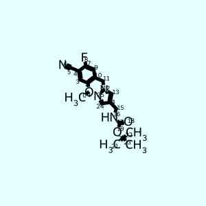 COc1cc(C#N)c(F)cc1Cn1cc(CNC(=O)OC(C)(C)C)cn1